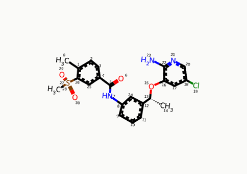 Cc1ccc(C(=O)Nc2cccc([C@@H](C)Oc3cc(Cl)cnc3N)c2)cc1S(C)(=O)=O